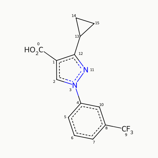 O=C(O)c1cn(-c2cccc(C(F)(F)F)c2)nc1C1CC1